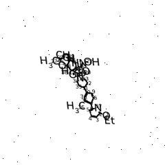 CCOc1cccc(-c2ccc(C3CCN(S(=O)(=O)[C@]4(C(=O)NO)C[C@@H]5OC(C)(C)O[C@@H]5C4)CC3)cc2C)n1